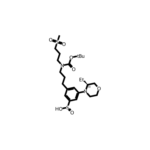 CC[C@H]1COCCN1c1cc(CCCN(CCCS(C)(=O)=O)C(=O)OC(C)(C)C)cc(S(=O)O)c1